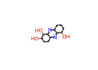 Oc1ccc2nc3c(O)cccc3nc2c1O